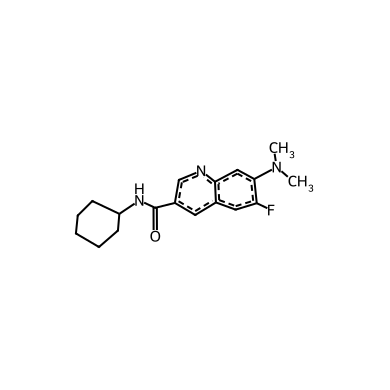 CN(C)c1cc2ncc(C(=O)NC3CCCCC3)cc2cc1F